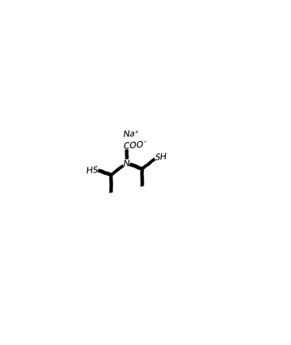 CC(S)N(C(=O)[O-])C(C)S.[Na+]